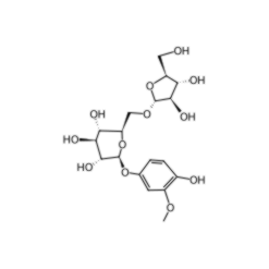 COc1cc(O[C@@H]2O[C@H](CO[C@@H]3O[C@@H](CO)[C@H](O)[C@H]3O)[C@@H](O)[C@H](O)[C@H]2O)ccc1O